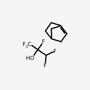 C1=C2CCC(C1)C2.OC(F)(C(F)F)C(F)(F)F